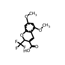 COc1cc(OC)c2c(c1)OC(C(F)(F)F)C(C(=O)O)=C2